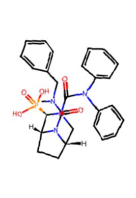 CN(Cc1ccccc1)C(=O)N1[C@H]2CC[C@@H]1[C@@H](P(=O)(O)O)N(C(=O)N(c1ccccc1)c1ccccc1)C2